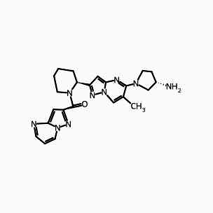 Cc1cn2nc([C@@H]3CCCCN3C(=O)c3cc4ncccn4n3)cc2nc1N1CC[C@H](N)C1